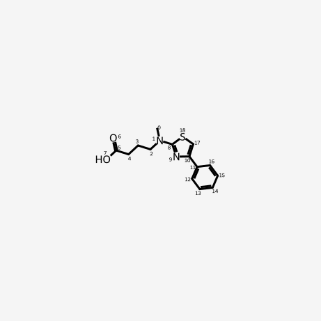 CN(CCCC(=O)O)c1nc(-c2ccccc2)cs1